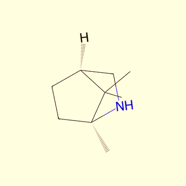 CC1(C)[C@H]2CC[C@]1(C)NC2